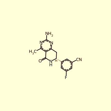 Cc1nc(N)nc2c1C(=O)N[C@@H](c1cc(F)cc(C#N)c1)C2